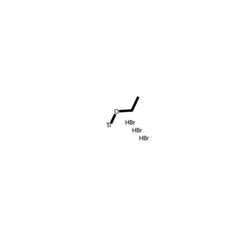 Br.Br.Br.CC[O][Ti]